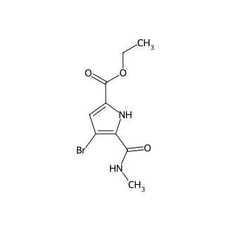 CCOC(=O)c1cc(Br)c(C(=O)NC)[nH]1